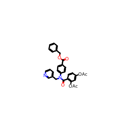 CC(=O)Oc1ccc(C(=O)N(Cc2cccnc2)c2ccc(C(=O)OCc3ccccc3)cc2)c(OC(C)=O)c1